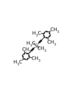 Cc1cc(C)c(C#C[Si](C)(C)C#Cc2c(C)cc(C)cc2C)c(C)c1